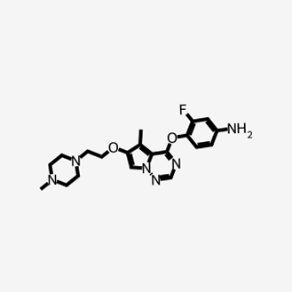 Cc1c(OCCN2CCN(C)CC2)cn2ncnc(Oc3ccc(N)cc3F)c12